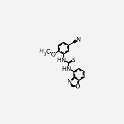 COc1ccc(C#N)cc1NC(=S)Nc1cccc2ocnc12